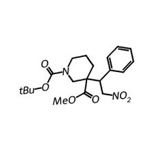 COC(=O)C1(C(C[N+](=O)[O-])c2ccccc2)CCCN(C(=O)OC(C)(C)C)C1